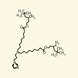 CC(CCOC(=O)CCCCCCCCN(CCCCCCCCC(=O)OCCC(C)CC(C)(C)C)CCCn1ccnc1)CC(C)(C)C